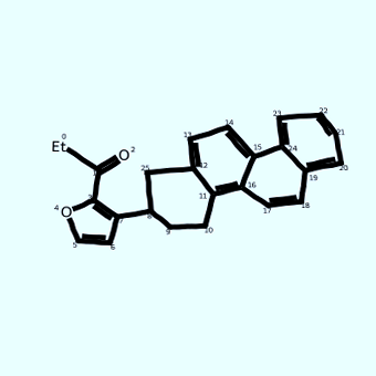 CCC(=O)c1occc1C1CCc2c(ccc3c2ccc2ccccc23)C1